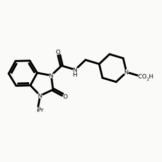 CC(C)n1c(=O)n(C(=O)NCC2CCN(C(=O)O)CC2)c2ccccc21